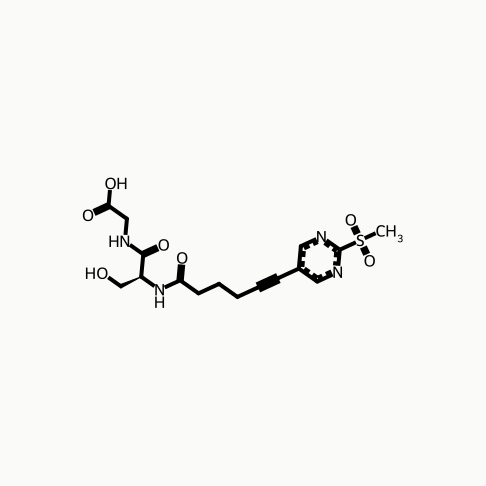 CS(=O)(=O)c1ncc(C#CCCCC(=O)N[C@@H](CO)C(=O)NCC(=O)O)cn1